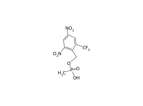 CP(=O)(O)OCc1c([N+](=O)[O-])cc([N+](=O)[O-])cc1C(F)(F)F